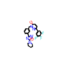 O=c1ccc(-c2cc(F)c(F)c(F)c2)nn1Cc1cccc(-c2noc(N3CCCCC3)n2)c1